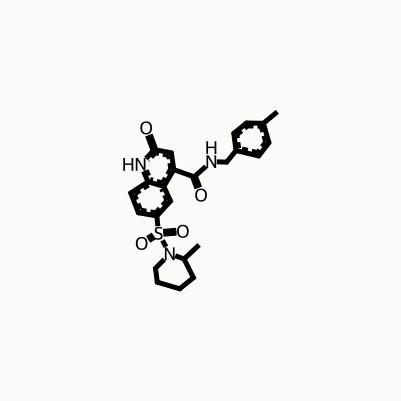 Cc1ccc(CNC(=O)c2cc(=O)[nH]c3ccc(S(=O)(=O)N4CCCCC4C)cc23)cc1